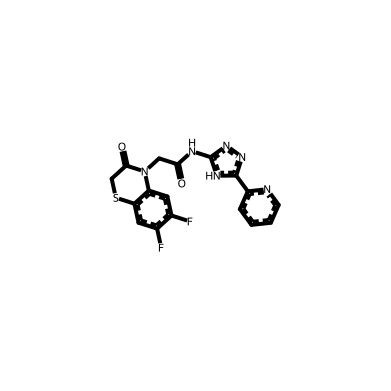 O=C(CN1C(=O)CSc2cc(F)c(F)cc21)Nc1nnc(-c2ccccn2)[nH]1